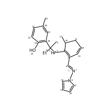 CCC(C)(PC1=C(/C=N/n2cccc2)C=CCC1C)c1cc(C)ccc1O